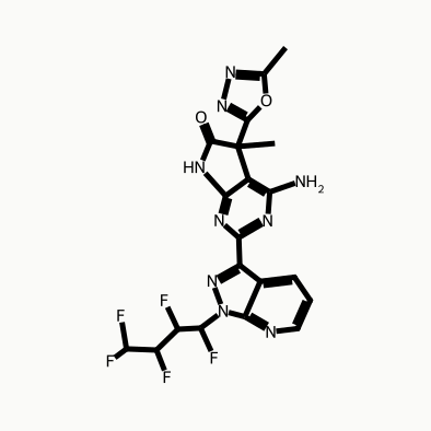 Cc1nnc(C2(C)C(=O)Nc3nc(-c4nn(C(F)C(F)C(F)C(F)F)c5ncccc45)nc(N)c32)o1